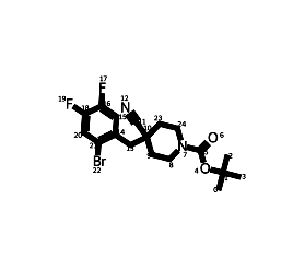 CC(C)(C)OC(=O)N1CCC(C#N)(Cc2cc(F)c(F)cc2Br)CC1